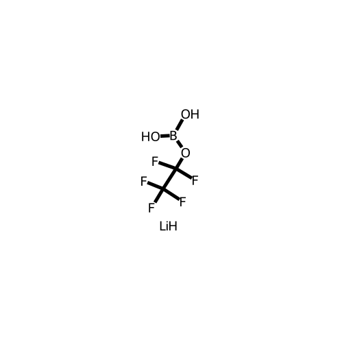 OB(O)OC(F)(F)C(F)(F)F.[LiH]